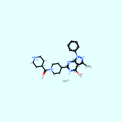 Cc1nn(-c2ccccc2)c2nc(C3CCN(C(=O)C4CCNCC4)CC3)nc(O)c12.Cl